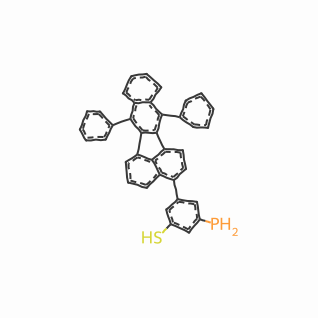 Pc1cc(S)cc(-c2ccc3c4c(cccc24)-c2c-3c(-c3ccccc3)c3ccccc3c2-c2ccccc2)c1